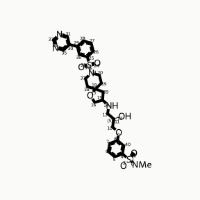 CNS(=O)(=O)c1cccc(OC[C@@H](O)CNC2COC3(CCN(S(=O)(=O)c4cccc(-c5cncnc5)c4)CC3)C2)c1